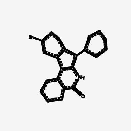 O=c1[nH]c2c(-c3ccccc3)c3ccc(Br)cc3n2c2ccccc12